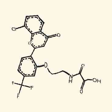 O=C(O)C(=O)NCCOc1cc(C(F)(F)F)ccc1-c1cc(=O)c2cccc(Cl)c2o1